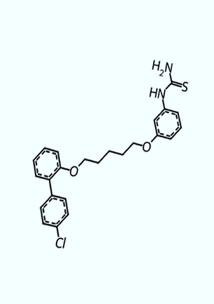 NC(=S)Nc1cccc(OCCCCCOc2ccccc2-c2ccc(Cl)cc2)c1